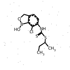 CCC(C)SC(=S)Nc1ccc2c(c1Cl)B(O)OC2